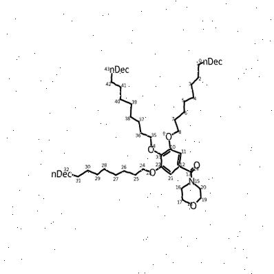 CCCCCCCCCCCCCCCCCCOc1cc(C(=O)N2CCOCC2)cc(OCCCCCCCCCCCCCCCCCC)c1OCCCCCCCCCCCCCCCCCC